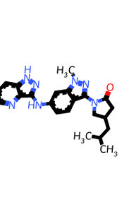 CC(C)CC1CC(=O)N(c2nn(C)c3cc(Nc4n[nH]c5cccnc45)ccc23)C1